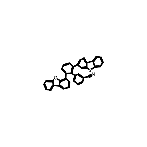 N#Cc1cccc(-c2c(-c3ccc4c(c3)sc3ccccc34)cccc2-c2cccc3c2oc2ccccc23)c1